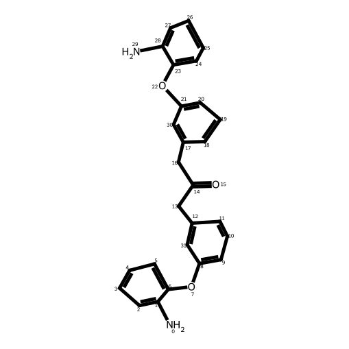 Nc1ccccc1Oc1cccc(CC(=O)Cc2cccc(Oc3ccccc3N)c2)c1